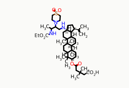 C=C(C)[C@@H]1CC[C@]2(NCC(C(C)NC(=O)OCC)N3CCS(=O)(=O)CC3)CC[C@]3(C)[C@H](CC[C@@H]4[C@@]5(C)CC[C@H](OC(=O)CC(C)(C)CC(=O)O)C(C)(C)[C@@H]5CC[C@]43C)[C@@H]12